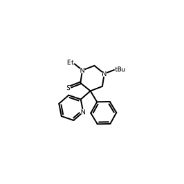 CCN1CN(C(C)(C)C)CC(c2ccccc2)(c2ccccn2)C1=S